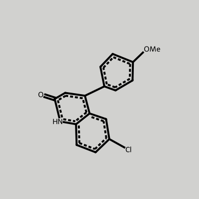 COc1ccc(-c2cc(=O)[nH]c3ccc(Cl)cc23)cc1